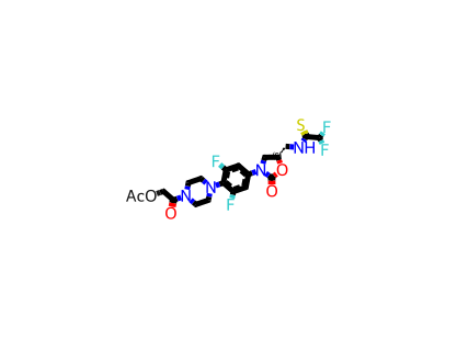 CC(=O)OCC(=O)N1CCN(c2c(F)cc(N3C[C@H](CNC(=S)C(F)F)OC3=O)cc2F)CC1